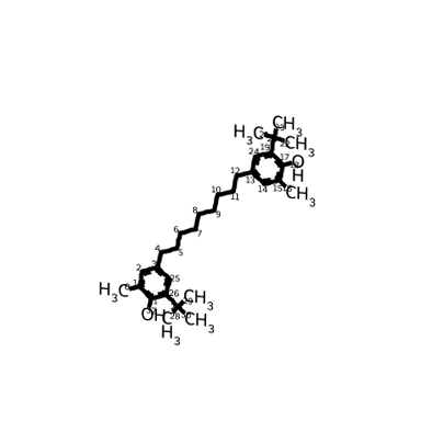 Cc1cc(CCCCCCCCCc2cc(C)c(O)c(C(C)(C)C)c2)cc(C(C)(C)C)c1O